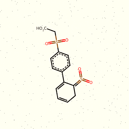 O=C(O)CS(=O)(=O)c1ccc(C2=CC=CCC2=S(=O)=O)cc1